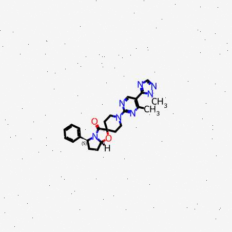 Cc1nc(N2CCC3(CC2)O[C@@H]2CC[C@@H](c4ccccc4)N2C3=O)ncc1-c1ncnn1C